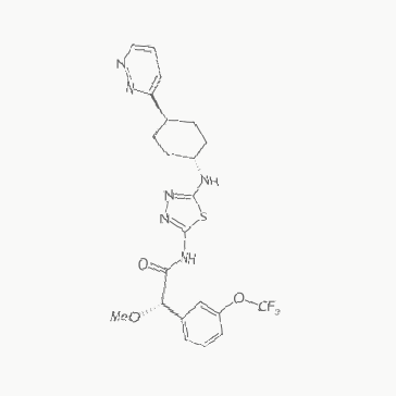 CO[C@H](C(=O)Nc1nnc(N[C@H]2CC[C@H](c3cccnn3)CC2)s1)c1cccc(OC(F)(F)F)c1